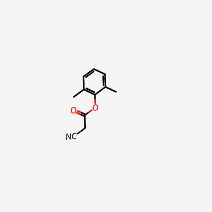 Cc1cccc(C)c1OC(=O)CC#N